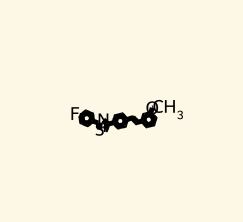 COc1cccc(C=Cc2ccc(-c3csc(-c4ccc(F)cc4)n3)cc2)c1